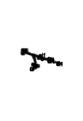 CC(=O)N(O)CCCCCNC(=O)CCC(=O)N(O)CCCCCNC(=O)CCC(=O)N(O)CCCCCN(CCCCCCCCCC[P+](c1ccccc1)(c1ccccc1)c1ccccc1)CCCCCCCCCC[P+](c1ccccc1)(c1ccccc1)c1ccccc1.[Cl-].[Cl-]